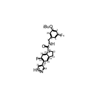 CC(C)COc1cc(F)cc(CNC(=O)N2CCc3cc(-c4cn[nH]c4)c(F)cc32)c1